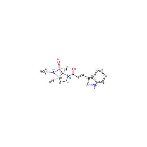 O=C(/C=C/c1c[nH]c2ccccc12)N1CC[C@@H]2[C@H]1C(=O)N2S(=O)(=O)O